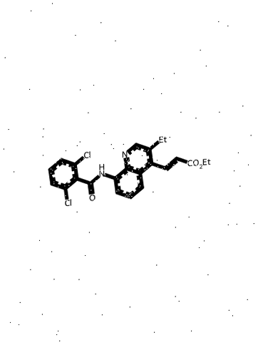 CCOC(=O)C=Cc1c(CC)cnc2c(NC(=O)c3c(Cl)cccc3Cl)cccc12